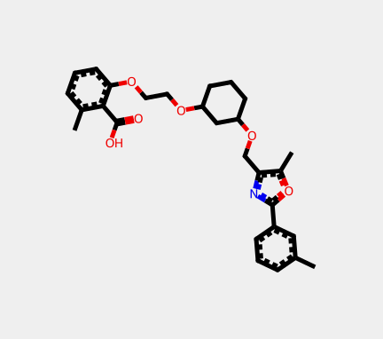 Cc1cccc(-c2nc(COC3CCCC(OCCOc4cccc(C)c4C(=O)O)C3)c(C)o2)c1